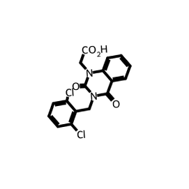 O=C(O)Cn1c(=O)n(Cc2c(Cl)cccc2Cl)c(=O)c2ccccc21